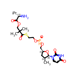 CC(C)[C@H](N)C(=O)OCC(C)(C)C(=O)SCCO[PH](=O)OC[C@@H]1C[C@H](C)[C@H](n2ccc(=O)[nH]c2=O)O1